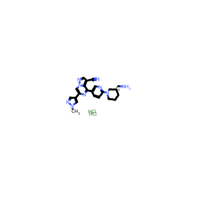 Cl.Cl.Cn1cc(-c2cn3ncc(C#N)c3c(-c3ccc(N4CCC[C@@H](CN)C4)nc3)n2)cn1